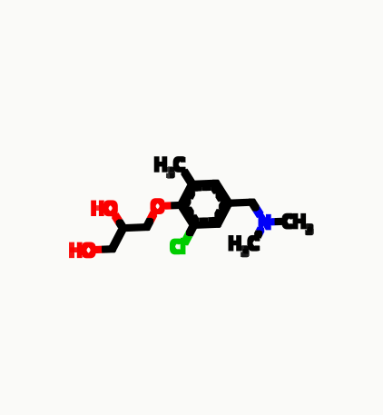 Cc1cc(CN(C)C)cc(Cl)c1OCC(O)CO